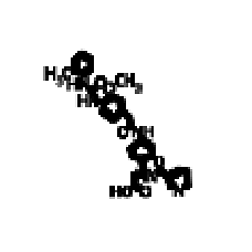 COc1cc(CC(=O)Nc2ccc(C(CC(=O)O)NC(=O)c3cccnc3)cc2)ccc1NC(=O)Nc1ccccc1C